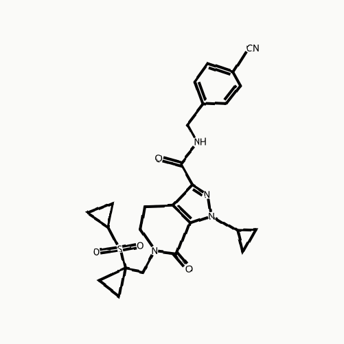 N#Cc1ccc(CNC(=O)c2nn(C3CC3)c3c2CCN(CC2(S(=O)(=O)C4CC4)CC2)C3=O)cc1